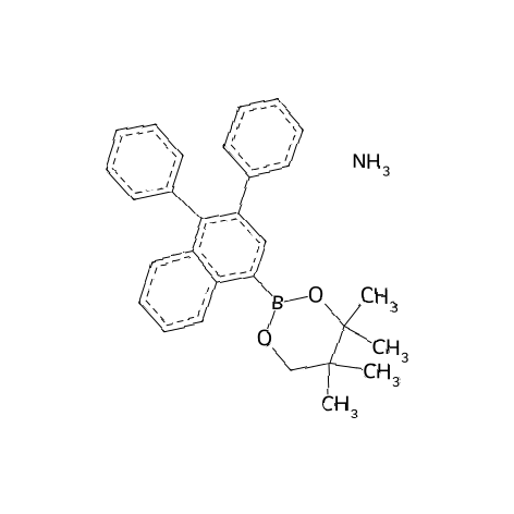 CC1(C)COB(c2cc(-c3ccccc3)c(-c3ccccc3)c3ccccc23)OC1(C)C.N